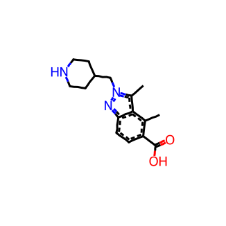 Cc1c(C(=O)O)ccc2nn(CC3CCNCC3)c(C)c12